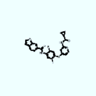 O=C(Nc1cc(F)c(Oc2ccnc(NC(=O)C3CC3)c2)cc1F)c1ccc2ccoc2c1